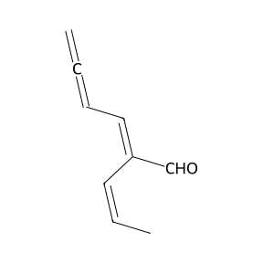 C=C=C/C=C(C=O)\C=C/C